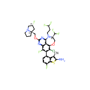 N#Cc1c(N)sc2c(F)ccc(-c3c(Cl)c4c5c(nc(OC[C@@]67CCCN6C[C@H](F)C7)nc5c3F)N(CCC(F)F)[C@@H](C(F)F)CO4)c12